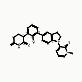 Cn1cccc(N2CCc3cc(-c4cccc(C5CCC(=O)NC5=O)c4Cl)ccc32)c1=O